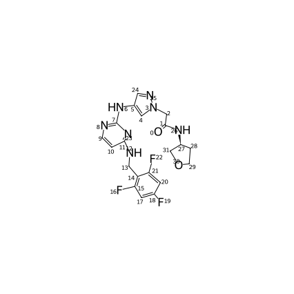 O=C(Cn1cc(Nc2nccc(NCc3c(F)cc(F)cc3F)n2)cn1)N[C@H]1CCOC1